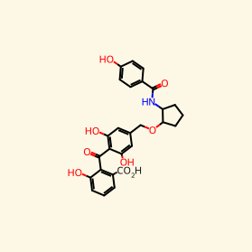 O=C(NC1CCCC1OCc1cc(O)c(C(=O)c2c(O)cccc2C(=O)O)c(O)c1)c1ccc(O)cc1